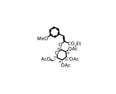 CCOC(=O)C(=Cc1cccc(OC)c1)O[C@H]1O[C@@H](COC(C)=O)[C@@H](OC(C)=O)[C@@H](OC(C)=O)[C@@H]1OC(C)=O